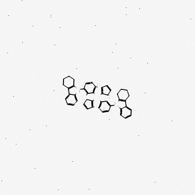 Fc1ccc(-n2c3c(c4ccccc42)CCCC3)c(F)[c]1[Ti]([C]1=CC=CC1)([C]1=CC=CC1)[c]1c(F)ccc(-n2c3c(c4ccccc42)CCCC3)c1F